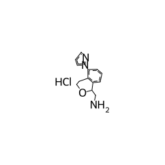 Cl.NCC1OCCc2c1cccc2-n1cccn1